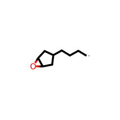 [CH2]CCCC1CC2OC2C1